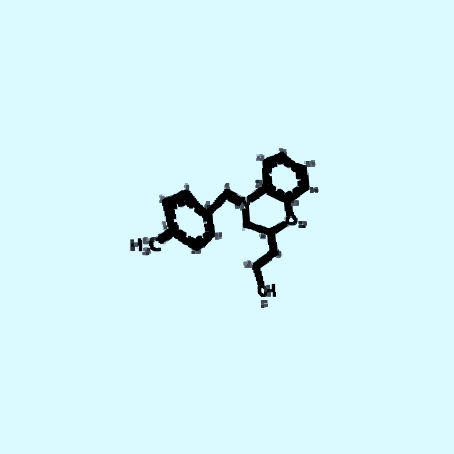 Cc1ccc(CN2CC(CCO)Oc3ccccc32)cc1